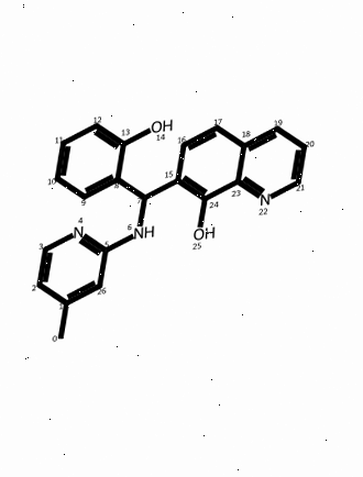 Cc1ccnc(NC(c2ccccc2O)c2ccc3cccnc3c2O)c1